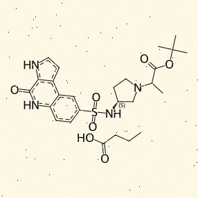 CC(C(=O)OC(C)(C)C)N1CC[C@H](NS(=O)(=O)c2ccc3[nH]c(=O)c4[nH]ccc4c3c2)C1.CCCC(=O)O